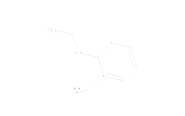 CCC(C)COc1ccccc1OC